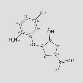 CC(=O)N1CC(O)C(Oc2cc(F)ccc2N)C1